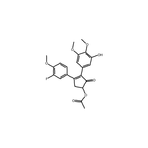 COc1ccc(C2=C(c3cc(O)c(OC)c(OC)c3)C(=O)C(OC(C)=O)C2)cc1F